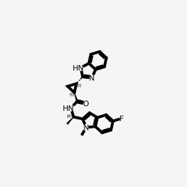 C[C@@H](NC(=O)[C@H]1C[C@@H]1c1nc2ccccc2[nH]1)c1cc2cc(F)ccc2n1C